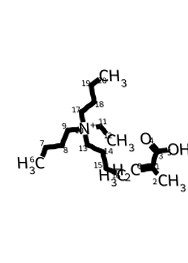 C=C(C)C(=O)O.CCCC[N+](CC)(CCCC)CCCC